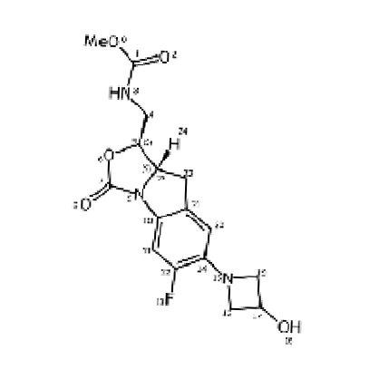 COC(=O)NC[C@@H]1OC(=O)N2c3cc(F)c(N4CC(O)C4)cc3C[C@@H]12